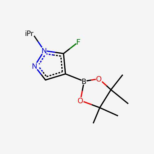 CC(C)n1ncc(B2OC(C)(C)C(C)(C)O2)c1F